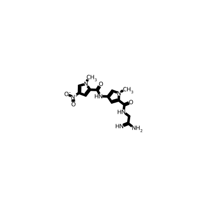 Cn1cc(NC(=O)c2cc([N+](=O)[O-])cn2C)cc1C(=O)NCC(=N)N